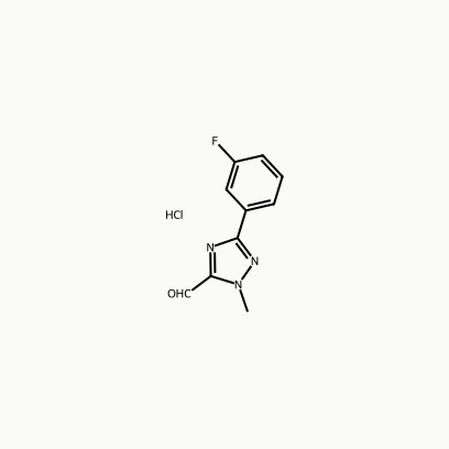 Cl.Cn1nc(-c2cccc(F)c2)nc1C=O